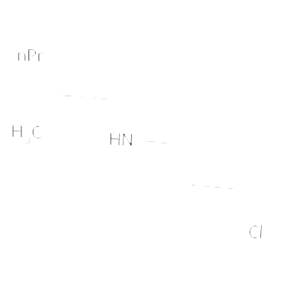 CCCC(C)CNCCCCl